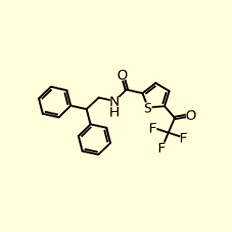 O=C(NCC(c1ccccc1)c1ccccc1)c1ccc(C(=O)C(F)(F)F)s1